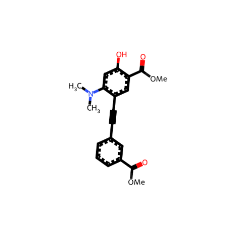 COC(=O)c1cccc(C#Cc2cc(C(=O)OC)c(O)cc2N(C)C)c1